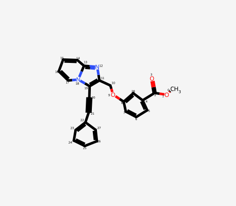 COC(=O)c1cccc(OCc2nc3ccccn3c2C#Cc2ccccc2)c1